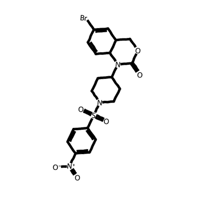 O=C1OCC2C=C(Br)C=CC2N1C1CCN(S(=O)(=O)c2ccc([N+](=O)[O-])cc2)CC1